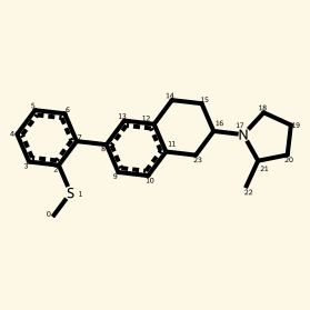 CSc1ccccc1-c1ccc2c(c1)CCC(N1CCCC1C)C2